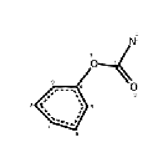 [N]C(=O)Oc1ccccc1